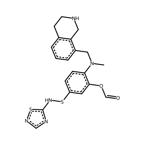 CN(Cc1cccc2c1CNCC2)c1ccc(SNc2ncns2)cc1OC=O